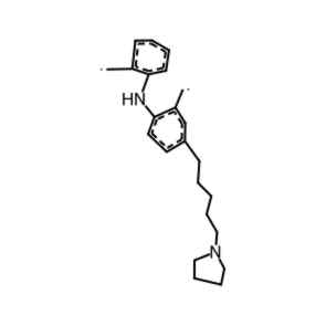 [CH2]c1ccccc1Nc1ccc(CCCCCN2CCCC2)cc1[CH2]